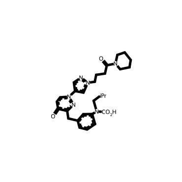 CC(C)CN(C(=O)O)c1cccc(Cc2nn(-c3cnn(CCCC(=O)N4CCCCC4)c3)ccc2=O)c1